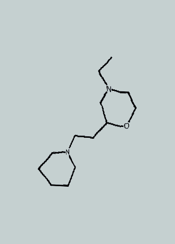 CCN1CCOC(CCN2CCCCC2)C1